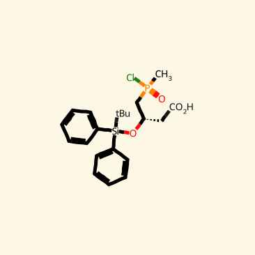 CC(C)(C)[Si](O[C@@H](CC(=O)O)CP(C)(=O)Cl)(c1ccccc1)c1ccccc1